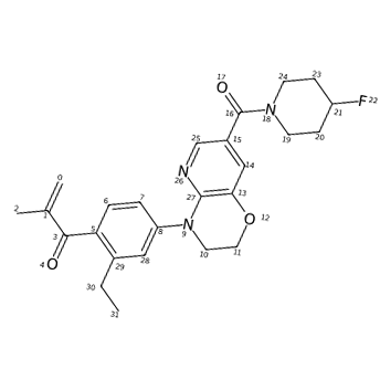 C=C(C)C(=O)c1ccc(N2CCOc3cc(C(=O)N4CCC(F)CC4)cnc32)cc1CC